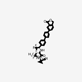 CC(C)(F)C[C@H](N[C@@H](c1ccc(-c2ccc(-c3ccc4c(c3)C(=O)OC4)cc2)cc1)C(F)(F)F)C(=O)NC1(C#N)CC1